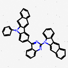 c1ccc(-n2c3ccc(-c4nc(-n5c6ccccc6c6cc7ccccc7cc65)nc5ccccc45)cc3c3cc4ccccc4cc32)cc1